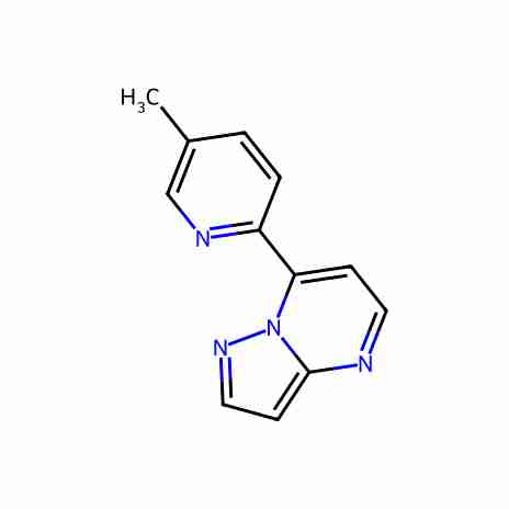 Cc1ccc(-c2ccnc3ccnn23)nc1